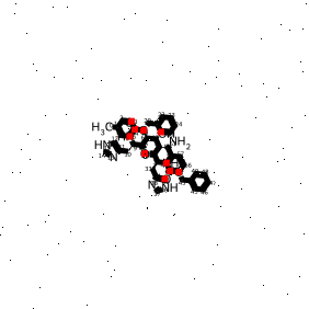 Cc1ccc(C[C@H](C(=O)[C@H](Cc2c[nH]cn2)NC(=O)OCc2ccccc2)[C@@H](O)[C@@H](C(=O)[C@H](Cc2c[nH]cn2)NC(=O)OCc2ccccc2)C(N)c2ccccc2)cc1